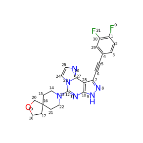 Fc1ccc(C#Cc2n[nH]c3nc(N4CCC5(CCOC5)CC4)n4ccnc4c23)cc1F